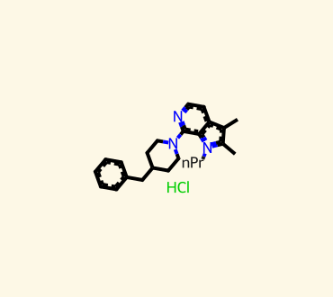 CCCn1c(C)c(C)c2ccnc(N3CCC(Cc4ccccc4)CC3)c21.Cl